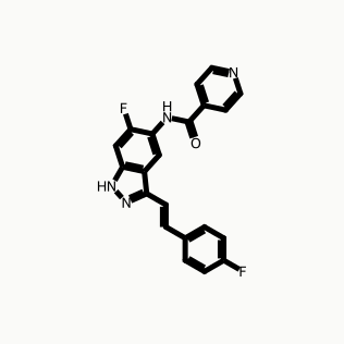 O=C(Nc1cc2c(/C=C/c3ccc(F)cc3)n[nH]c2cc1F)c1ccncc1